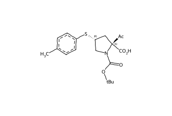 CC(=O)[C@]1(C(=O)O)C[C@@H](Sc2ccc(C)cc2)CN1C(=O)OC(C)(C)C